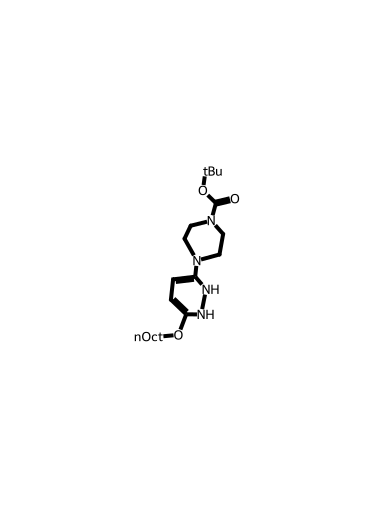 CCCCCCCCOC1=CC=C(N2CCN(C(=O)OC(C)(C)C)CC2)NN1